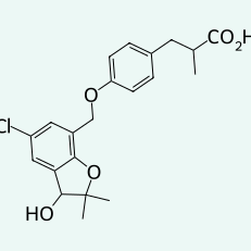 CC(Cc1ccc(OCc2cc(Cl)cc3c2OC(C)(C)C3O)cc1)C(=O)O